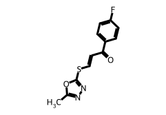 Cc1nnc(S/C=C/C(=O)c2ccc(F)cc2)o1